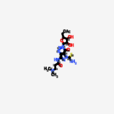 CC(=O)OCC1OC(n2nnc3c(NC(=O)CCN(C)C)nn(C(N)=S)c3c2=O)C(O)C1O